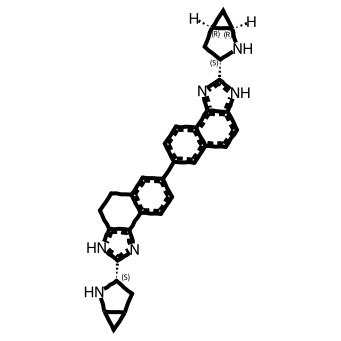 c1cc2c(cc1-c1ccc3c(ccc4[nH]c([C@@H]5C[C@H]6C[C@H]6N5)nc43)c1)CCc1[nH]c([C@@H]3CC4CC4N3)nc1-2